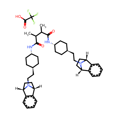 CC(C(=O)N[C@H]1CC[C@H](CCN2[C@@H]3CC[C@H]2c2ccccc23)CC1)C(C)C(=O)N[C@H]1CC[C@H](CCN2[C@@H]3CC[C@H]2c2ccccc23)CC1.O=C(O)C(F)(F)F